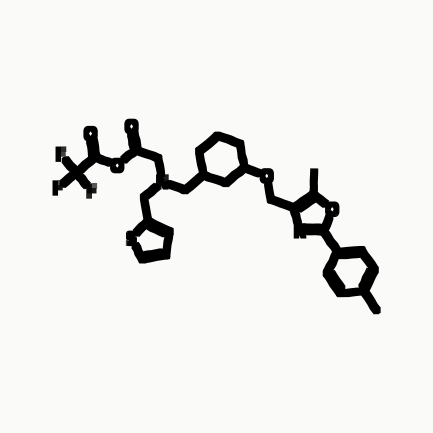 Cc1ccc(-c2nc(COC3CCCC(CN(CC(=O)OC(=O)C(F)(F)F)Cc4cccs4)C3)c(C)o2)cc1